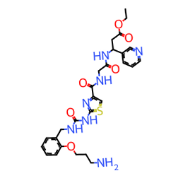 CCOC(=O)CC(NC(=O)CNC(=O)c1csc(NC(=O)NCc2ccccc2OCCCN)n1)c1cccnc1